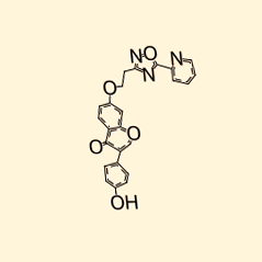 O=c1c(-c2ccc(O)cc2)coc2cc(OCCc3noc(-c4ccccn4)n3)ccc12